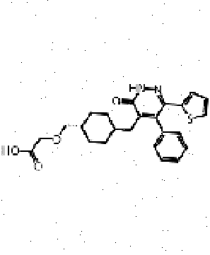 O=C(O)COC[C@H]1CC[C@H](Cc2c(-c3ccccc3)c(-c3cccs3)n[nH]c2=O)CC1